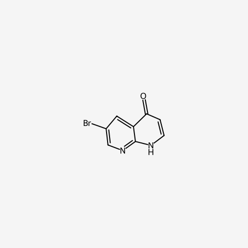 O=c1cc[nH]c2ncc(Br)cc12